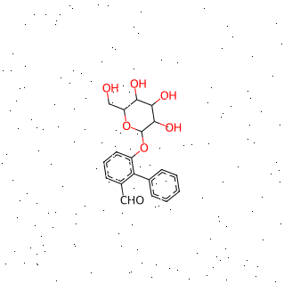 O=Cc1cccc(OC2OC(CO)C(O)C(O)C2O)c1-c1ccccc1